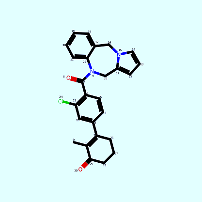 CC1=C(c2ccc(C(=O)N3Cc4cccn4Cc4ccccc43)c(Cl)c2)CCCC1=O